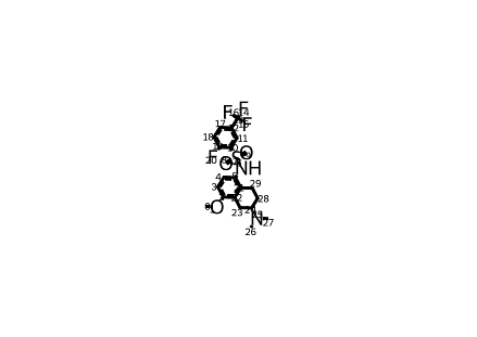 COc1ccc(NS(=O)(=O)c2cc(C(F)(F)F)ccc2F)c2c1C[C@@H](N(C)C)CC2